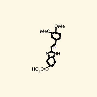 COc1ccc(/C=C/c2nc3cc(OC(=O)O)ccc3[nH]2)cc1OC